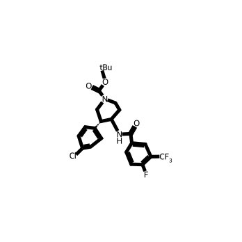 CC(C)(C)OC(=O)N1CCC(NC(=O)c2ccc(F)c(C(F)(F)F)c2)[C@H](c2ccc(Cl)cc2)C1